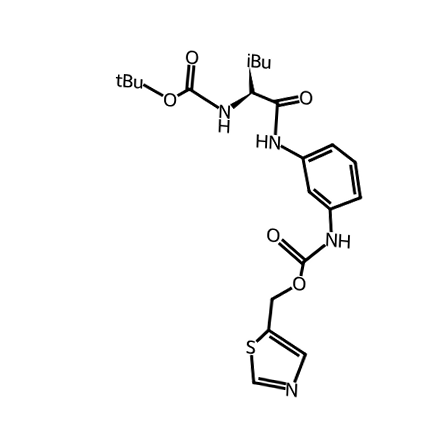 CC[C@H](C)[C@H](NC(=O)OC(C)(C)C)C(=O)Nc1cccc(NC(=O)OCc2cncs2)c1